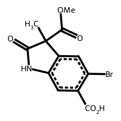 COC(=O)C1(C)C(=O)Nc2cc(C(=O)O)c(Br)cc21